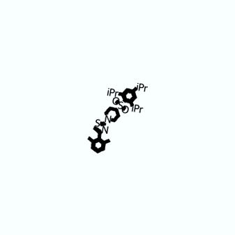 Cc1cccc(C)c1-c1csc(N2CCC(S(=O)(=O)c3c(C(C)C)cc(C(C)C)cc3C(C)C)CC2)n1